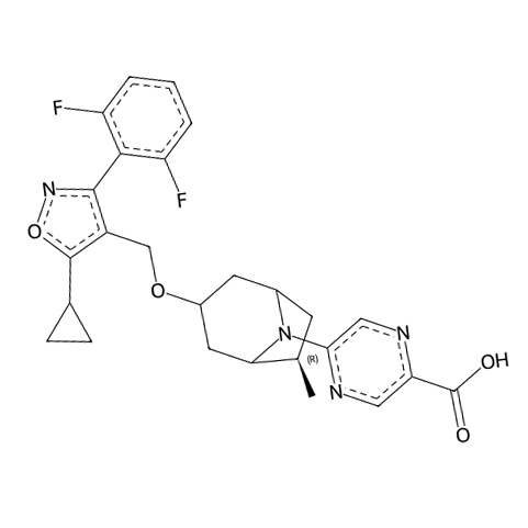 C[C@@H]1CC2CC(OCc3c(-c4c(F)cccc4F)noc3C3CC3)CC1N2c1cnc(C(=O)O)cn1